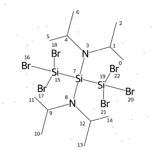 CC(C)N(C(C)C)[Si](N(C(C)C)C(C)C)([Si](Br)(Br)Br)[Si](Br)(Br)Br